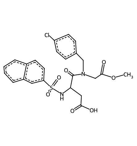 COC(=O)CN(Cc1ccc(Cl)cc1)C(=O)C(CC(=O)O)NS(=O)(=O)c1ccc2ccccc2c1